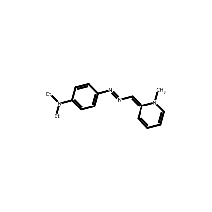 CCN(CC)c1ccc(N=N/C=C2\C=CC=CN2C)cc1